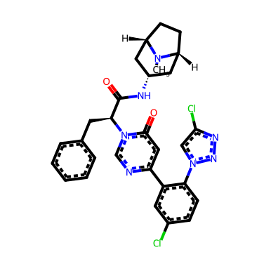 CN1[C@@H]2CC[C@H]1C[C@@H](NC(=O)[C@H](Cc1ccccc1)n1cnc(-c3cc(Cl)ccc3-n3cc(Cl)nn3)cc1=O)C2